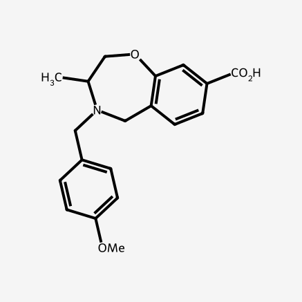 COc1ccc(CN2Cc3ccc(C(=O)O)cc3OCC2C)cc1